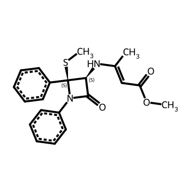 COC(=O)C=C(C)N[C@H]1C(=O)N(c2ccccc2)[C@]1(SC)c1ccccc1